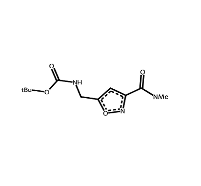 CNC(=O)c1cc(CNC(=O)OC(C)(C)C)on1